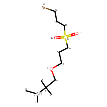 C[SiH](C)C(C)(C)COCCCS(=O)(=O)CCCBr